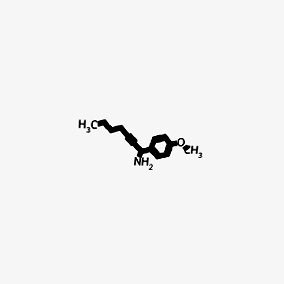 CCCCC#CC(N)c1ccc(OC)cc1